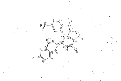 Cc1nn(C(C)c2ccc(C(F)(F)F)cc2)c2nc(-c3cnc4ccccc4n3)[nH]c(=O)c12